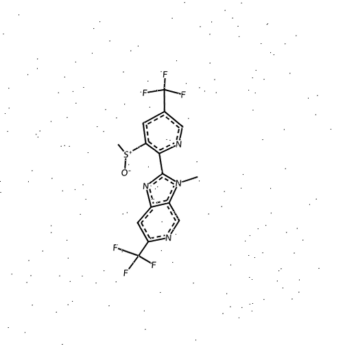 Cn1c(-c2ncc(C(F)(F)F)cc2[S+](C)[O-])nc2cc(C(F)(F)F)ncc21